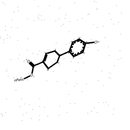 CCCCCOC(=O)C1=CCC(c2ccc(Cl)cc2)CC1